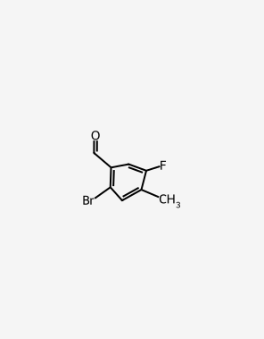 Cc1cc(Br)c(C=O)cc1F